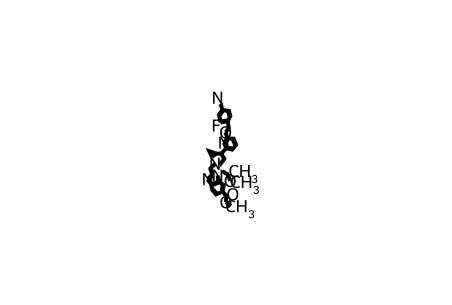 COC(=O)c1ccc2nc(CN3CCC(c4cccc(OCc5ccc(C#N)cc5F)n4)C4CC43)n(CC(C)OC)c2c1